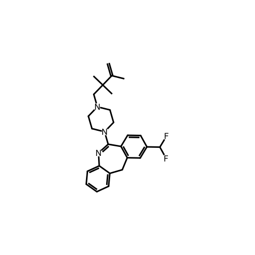 C=C(C)C(C)(C)CN1CCN(C2=Nc3ccccc3Cc3cc(C(F)F)ccc32)CC1